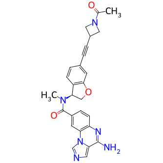 CC(=O)N1CC(C#Cc2ccc3c(c2)OC[C@H]3N(C)C(=O)c2ccc3nc(N)c4cncn4c3c2)C1